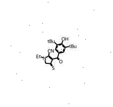 CCN1CC(=S)C(C(=O)c2cc(C(C)(C)C)c(O)c(C(C)(C)C)c2)=C1C#N